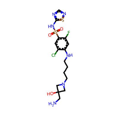 NCC1(O)CN(CCCCNc2cc(F)c(S(=O)(=O)Nc3ncns3)cc2Cl)C1